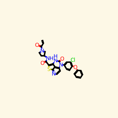 C=CC(=O)N1CCC(NC(=O)c2sc3nccc4c3c2NC(=O)N4c2ccc(Oc3ccccc3)c(Cl)c2)C1